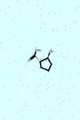 COC(=O)[C@H]1CCC[C@@H]1O